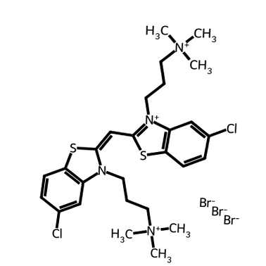 C[N+](C)(C)CCCN1C(=Cc2sc3ccc(Cl)cc3[n+]2CCC[N+](C)(C)C)Sc2ccc(Cl)cc21.[Br-].[Br-].[Br-]